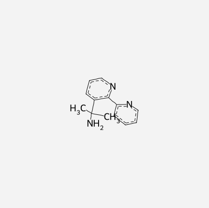 CC(C)(N)c1cccnc1-c1ccccn1